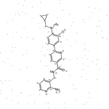 CC(=O)N(CC1CC1)c1ccc(-c2ccc(C(=O)NCc3cccnc3N)cn2)cc1Cl